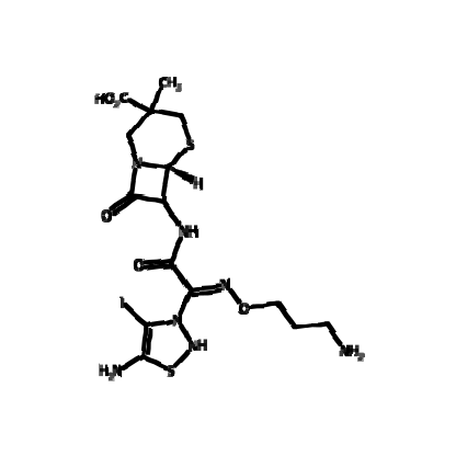 CC1(C(=O)O)CS[C@@H]2C(NC(=O)C(=NOCCCN)N3NSC(N)=C3I)C(=O)N2C1